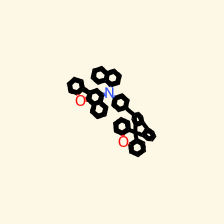 c1ccc2c(c1)Oc1ccccc1C21c2ccccc2-c2ccc(-c3ccc(N(c4cccc5ccccc45)c4cc5c6ccccc6oc5c5ccccc45)cc3)cc21